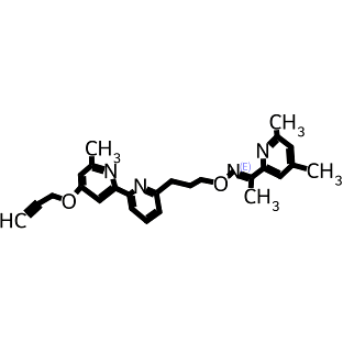 C#CCOc1cc(C)nc(-c2cccc(CCCO/N=C(\C)c3cc(C)cc(C)n3)n2)c1